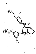 Cl.OCCc1ccc(Nc2cc(-c3cc(F)cc(Cl)c3)nc3c2CCC3)cc1